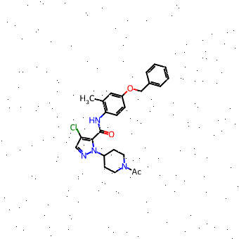 CC(=O)N1CCC(n2ncc(Cl)c2C(=O)Nc2ccc(OCc3ccccc3)cc2C)CC1